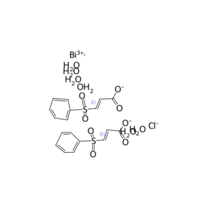 O.O.O.O.O.O.O=C([O-])/C=C/S(=O)(=O)c1ccccc1.O=C([O-])/C=C/S(=O)(=O)c1ccccc1.[Bi+3].[Cl-]